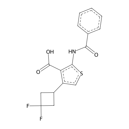 O=C(Nc1scc(C2CC(F)(F)C2)c1C(=O)O)c1ccccc1